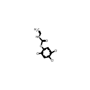 C=CNC(=O)Oc1cc(Cl)c(Cl)cc1Cl